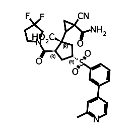 Cc1cc(-c2cccc(S(=O)(=O)[C@@H]3C[C@@H](C(=O)N4CCC(F)(F)C4)[C@](C(=O)O)(C4CC4(C#N)C(N)=O)C3)c2)ccn1